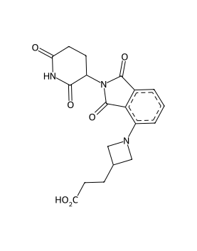 O=C(O)CCC1CN(c2cccc3c2C(=O)N(C2CCC(=O)NC2=O)C3=O)C1